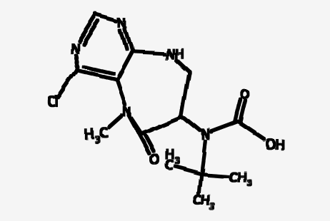 CN1C(=O)C(N(C(=O)O)C(C)(C)C)CNc2ncnc(Cl)c21